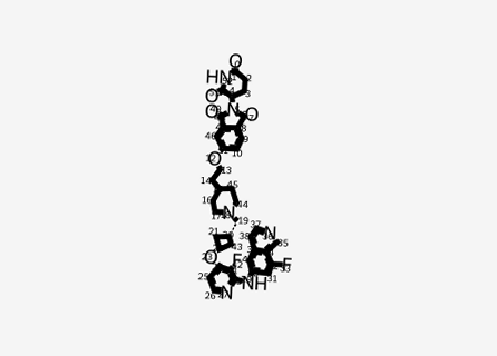 O=C1CCC(N2C(=O)c3ccc(OCCC4CCN(C[C@H]5C[C@H](Oc6ccnc(Nc7cc(F)c8cnccc8c7)c6F)C5)CC4)cc3C2=O)C(=O)N1